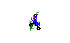 O=C(Cn1nc(-c2cc(F)ccc2F)c2c(Cl)c(-c3ccccc3)nnc21)N1CC[C@@H](F)C1